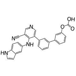 N#Cc1cncc(-c2cccc(-c3cccc(OC(=O)O)c3)c2)c1Nc1ccc2[nH]ccc2c1